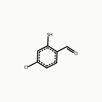 O=Cc1ccc(Cl)cc1S